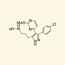 CCCNCCCc1[nH]nc(-c2ccc(Cl)cc2)c1-c1ccnc(OC)n1